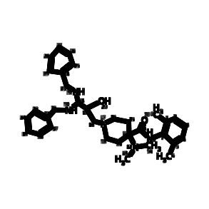 Cc1cccc(C)c1NC(=O)C1(N(C)C)CCN(CC(O)C(NCc2ccccc2)NCc2ccccc2)CC1